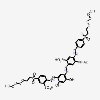 CC(=O)Nc1cc(/N=N/c2cc(/N=N/c3ccc(S(=O)(=O)CCOSOOO)cc3S(=O)(=O)O)c(O)cc2O)c(S(=O)(=O)O)cc1/N=N/c1ccc(S(=O)(=O)CCOSOOO)cc1